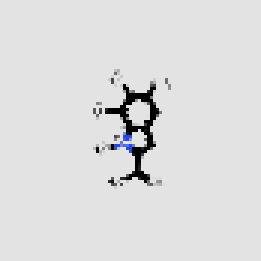 C=C(C)c1cc2cc(C)c(C)c(C)c2n1C